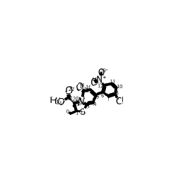 CC1Sc2cc(-c3cc(Cl)ccc3[N+](=O)[O-])cc(=O)n2[C@@H]1C(=O)O